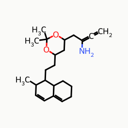 C=C=C(N)CC1CC(CCC2C(C)C=CC3=CCCCC32)OC(C)(C)O1